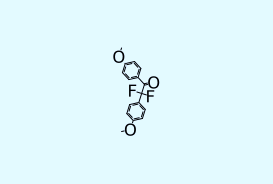 COc1ccc(C(=O)C(F)(F)c2ccc(OC)cc2)cc1